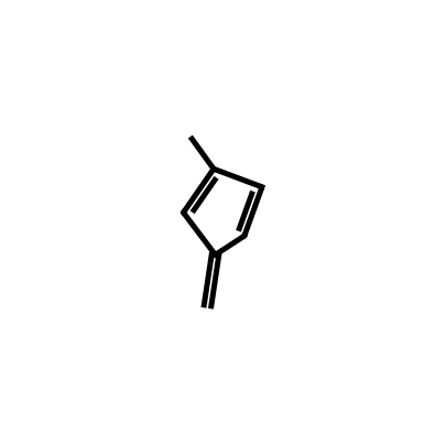 C=C1C=CC(C)=C1